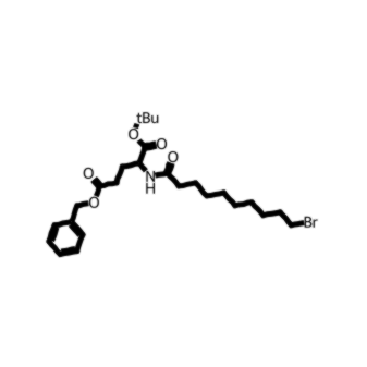 CC(C)(C)OC(=O)C(CCC(=O)OCc1ccccc1)NC(=O)CCCCCCCCCBr